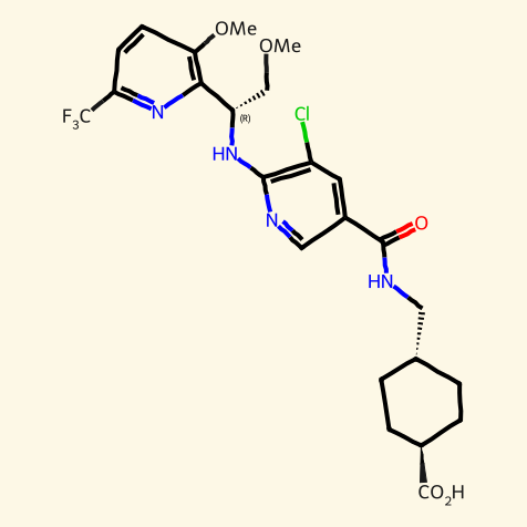 COC[C@H](Nc1ncc(C(=O)NC[C@H]2CC[C@H](C(=O)O)CC2)cc1Cl)c1nc(C(F)(F)F)ccc1OC